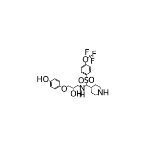 O=S(=O)(c1ccc(OC(F)(F)F)cc1)C(NC[C@H](O)COc1ccc(O)cc1)C1CCNCC1